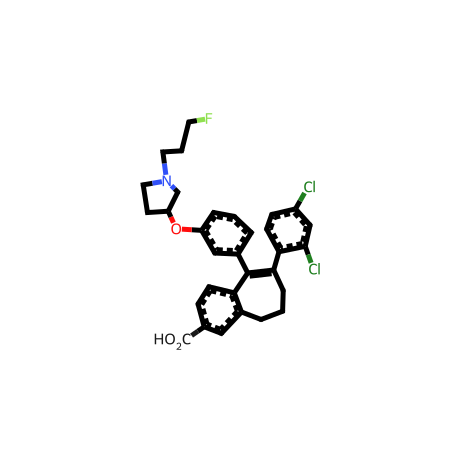 O=C(O)c1ccc2c(c1)CCCC(c1ccc(Cl)cc1Cl)=C2c1cccc(OC2CCN(CCCF)C2)c1